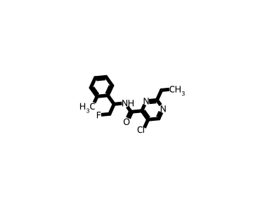 CCc1ncc(Cl)c(C(=O)NC(CF)c2ccccc2C)n1